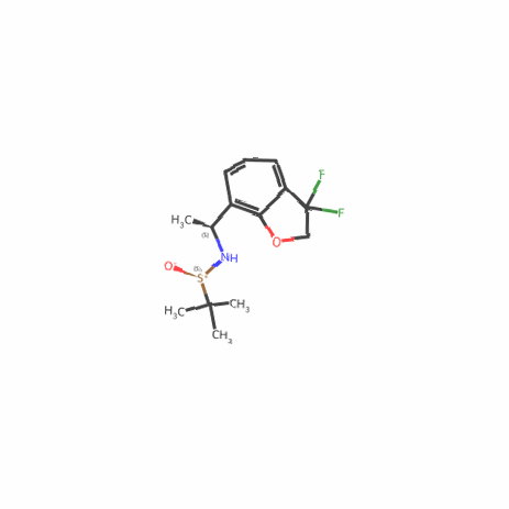 C[C@H](N[S@+]([O-])C(C)(C)C)c1cccc2c1OCC2(F)F